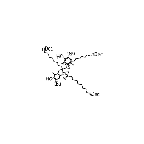 CCCCCCCCCCCCCCCCCCC(=S)OC(C)C(Cc1c(C)cc(C(C)(C)C)c(O)c1C)(Cc1c(C)cc(C(C)(C)C)c(O)c1C)C(CCCCCCCCCCCCCCCCC)OC(=S)CCCCCCCCCCCCCCCCCC